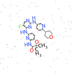 CC1(C)Oc2ccc(Nc3nc(Nc4ccc(C5CCOCC5)nc4)ncc3F)nc2NC1=O